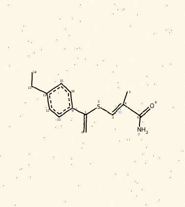 C=C(S/C=C(\C)C(N)=O)c1ccc(CC)cc1